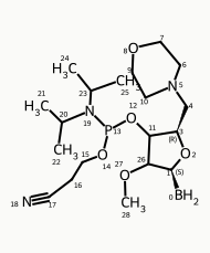 B[C@@H]1O[C@H](CN2CCOCC2)C(OP(OCCC#N)N(C(C)C)C(C)C)C1OC